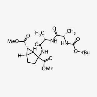 COC(=O)[C@H]1[C@@H]2CC[C@@](NC(=O)[C@H](C)NC(=O)[C@H](C)NC(=O)OC(C)(C)C)(C(=O)OC)[C@@H]21